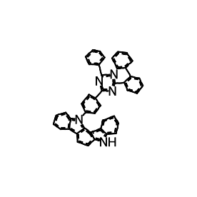 c1ccc(-c2nc(-c3ccc(-n4c5ccccc5c5ccc6[nH]c7ccccc7c6c54)cc3)nc(-c3ccccc3-c3ccccc3)n2)cc1